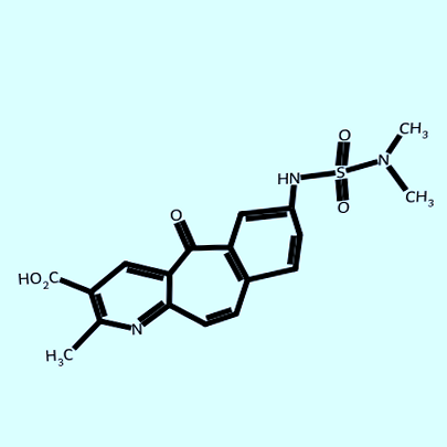 Cc1nc2ccc3ccc(NS(=O)(=O)N(C)C)cc3c(=O)c2cc1C(=O)O